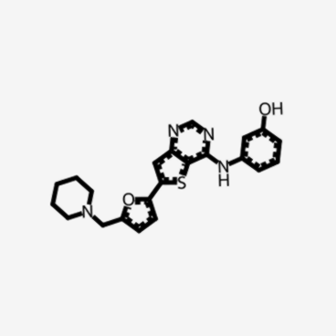 Oc1cccc(Nc2ncnc3cc(-c4ccc(CN5CCCCC5)o4)sc23)c1